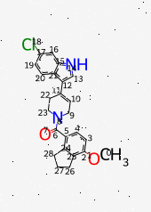 COc1ccc(C(=O)N2CC=C(c3c[nH]c4cc(Cl)ccc34)CC2)c2c1CCC2